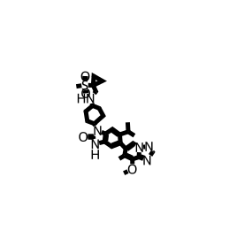 COc1c(C)c(-c2cc3[nH]c(=O)n(C4CCC(NCC5(S(C)(=O)=O)CC5)CC4)c3cc2C(C)C)cn2ncnc12